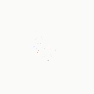 CC(=O)OC1OC(=C2C(=O)Nc3cc(F)ccc32)c2ccccc21